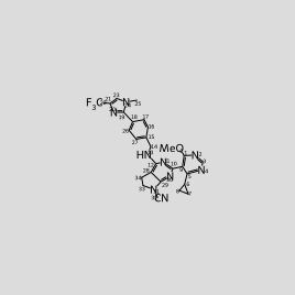 COc1ncnc(C2CC2)c1-c1nc(NCc2ccc(-c3nc(C(F)(F)F)cn3C)cc2)c2c(n1)N(C#N)CC2